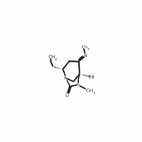 CC[C@@H]1CC(=NC)[C@@H]2CN1C(=O)N2C